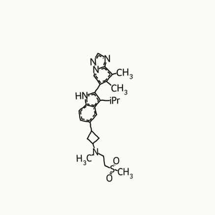 Cc1c(-c2[nH]c3ccc(C4CC(N(C)CCS(C)(=O)=O)C4)cc3c2C(C)C)cn2ncnc2c1C